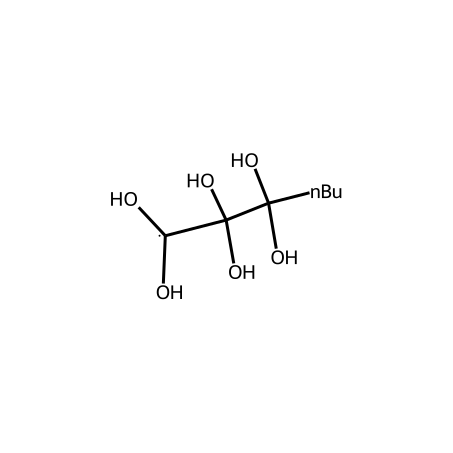 CCCCC(O)(O)C(O)(O)[C](O)O